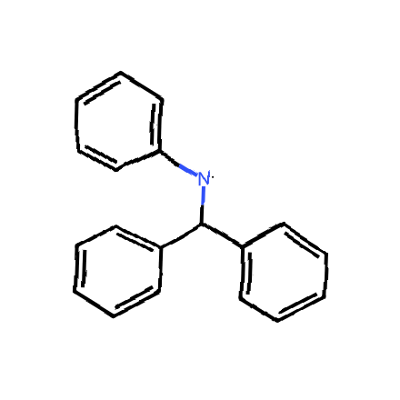 c1ccc([N]C(c2ccccc2)c2ccccc2)cc1